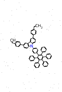 C=Cc1ccc(-c2ccc3c(c2)c2cc(-c4ccc(C=C)cc4)ccc2n3-c2ccc(-c3c(-c4ccccc4)c(-c4ccccc4)c(-c4ccccc4)c(-c4ccccc4)c3-c3ccccc3)cc2)cc1